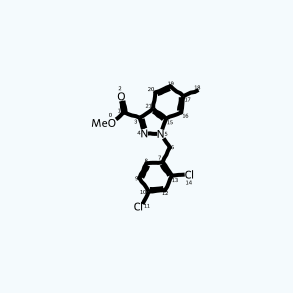 COC(=O)c1nn(Cc2ccc(Cl)cc2Cl)c2cc(C)ccc12